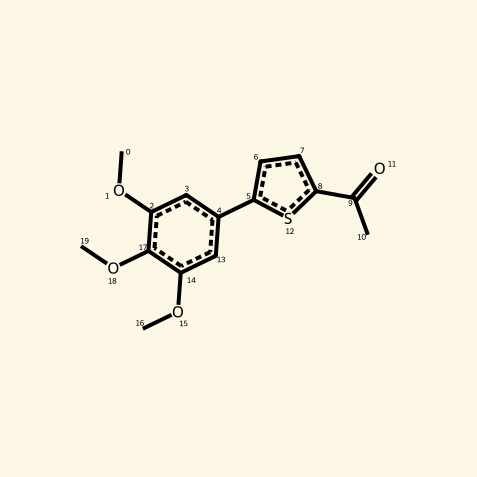 COc1cc(-c2ccc(C(C)=O)s2)cc(OC)c1OC